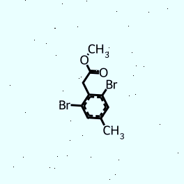 COC(=O)Cc1c(Br)cc(C)cc1Br